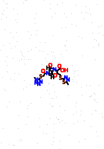 Cc1nnc(SCC2=C(C(=O)O)N3C(=O)[C@@H]4[C@H]3[C@@H](CN4C(=O)CSc3nnnn3C)O2)s1